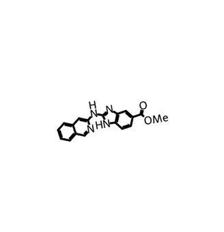 COC(=O)c1ccc2[nH]c(Nc3cc4ccccc4cn3)nc2c1